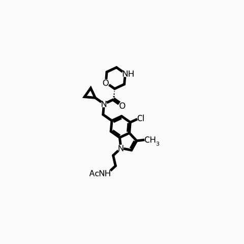 CC(=O)NCCn1cc(C)c2c(Cl)cc(CN(C(=O)[C@H]3CNCCO3)C3CC3)cc21